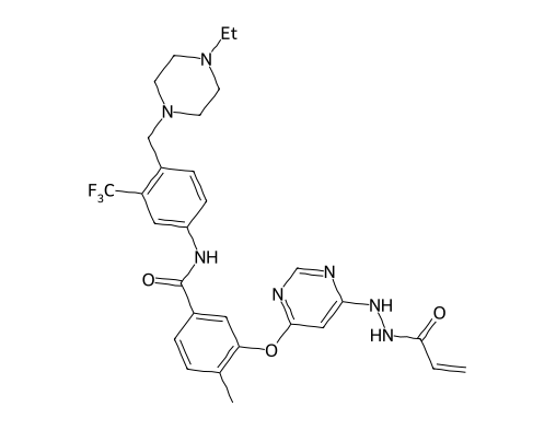 C=CC(=O)NNc1cc(Oc2cc(C(=O)Nc3ccc(CN4CCN(CC)CC4)c(C(F)(F)F)c3)ccc2C)ncn1